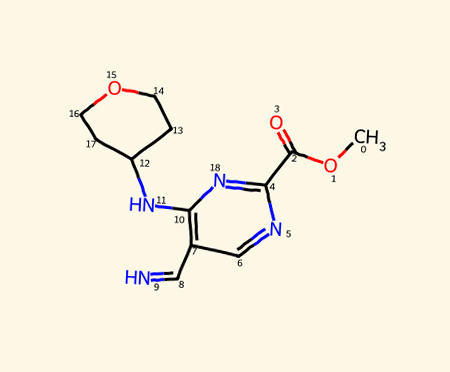 COC(=O)c1ncc(C=N)c(NC2CCOCC2)n1